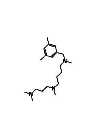 Cc1cc(C)cc(CN(C)CCCCN(C)CCCN(C)C)c1